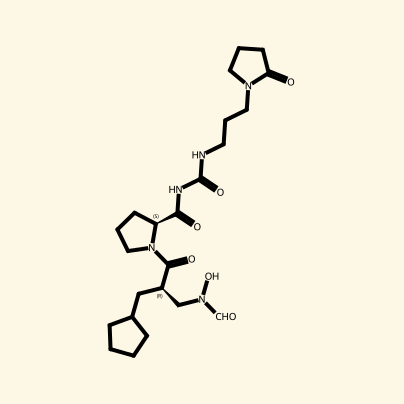 O=CN(O)C[C@@H](CC1CCCC1)C(=O)N1CCC[C@H]1C(=O)NC(=O)NCCCN1CCCC1=O